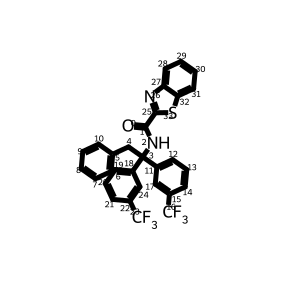 O=C(NC(Cc1ccccc1)(c1cccc(C(F)(F)F)c1)c1cccc(C(F)(F)F)c1)c1nc2ccccc2s1